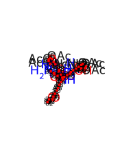 CC(=O)NC1C(OC(C)=O)[C@H](OC(C)=O)C(COC(C)=O)O[C@H]1ONCCCNC(=O)CCOCC(COCCC(=O)NCCCN)(COCCC(=O)NCCCNC(O)O[C@@H]1OCC(OC(C)=O)C[C@@H](OC(C)=O)C(OC(C)=O)C1NC(C)=O)NC(=O)CCCCCCCCCCC(=O)OCc1ccccc1